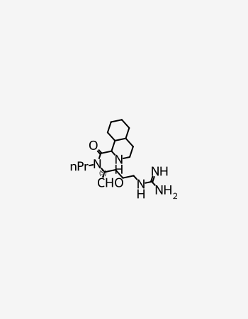 CCCN(C(=O)C1NCCC2CCCCC21)[C@H](C=O)CCCNC(=N)N